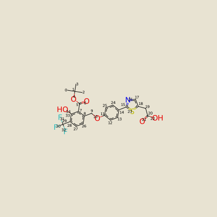 CC(C)(C)OC(=O)c1c(COc2ccc(-c3ncc(CC(=O)O)s3)cc2)ccc(C(F)(F)F)c1O